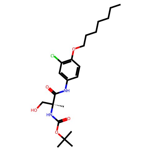 CCCCCCCOc1ccc(NC(=O)[C@](C)(CO)NC(=O)OC(C)(C)C)cc1Cl